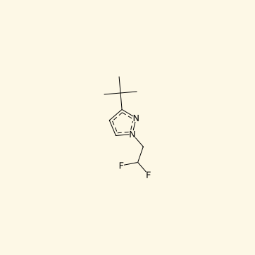 CC(C)(C)c1ccn(CC(F)F)n1